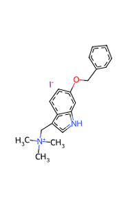 C[N+](C)(C)Cc1c[nH]c2cc(OCc3ccccc3)ccc12.[I-]